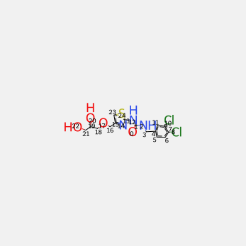 O=C(NCc1ccc(Cl)c(Cl)c1)Nc1nc(COCC(O)CO)cs1